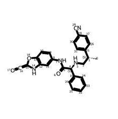 C[C@H](CN[C@H](C(=O)Nc1ccc2c(c1)NC(=C=O)O2)c1ccccc1)c1ccc(C#N)cc1